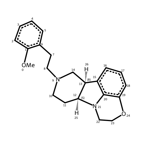 COc1ccccc1CCN1CC[C@H]2[C@@H](C1)c1cccc3c1N2CCO3